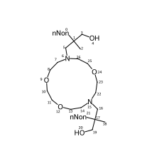 CCCCCCCCCC(C)(CO)CN1CCOCCOCCN(CC(C)(CO)CCCCCCCCC)CCOCC1